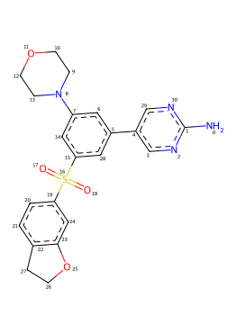 Nc1ncc(-c2cc(N3CCOCC3)cc(S(=O)(=O)c3ccc4c(c3)OCC4)c2)cn1